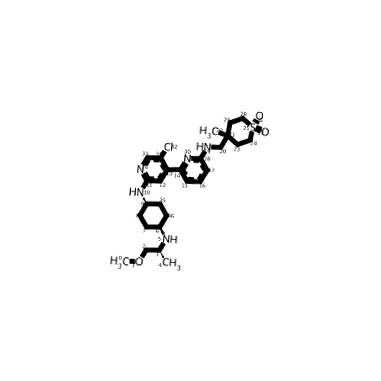 COC[C@@H](C)N[C@H]1CC[C@H](Nc2cc(-c3cccc(NCC4(C)CCS(=O)(=O)CC4)n3)c(Cl)cn2)CC1